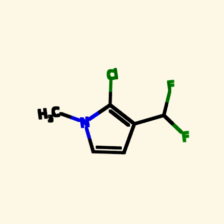 Cn1ccc(C(F)F)c1Cl